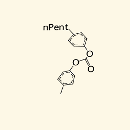 CCCCCc1ccc(OC(=O)Oc2ccc(C)cc2)cc1